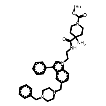 CC(C)(C)OC(=O)N1CCC(N)(C(=O)NCCn2cc(-c3ccccc3)c3cc(CN4CCN(Cc5ccccc5)CC4)ccc32)CC1